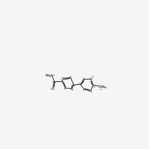 CNC(=O)c1ccc(-c2ccc(OC)nc2)cc1